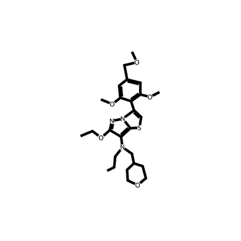 CCCN(CC1CCOCC1)c1c(OCC)nn2c(-c3c(OC)cc(COC)cc3OC)csc12